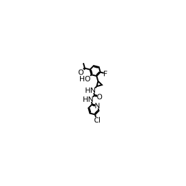 CC(=O)c1ccc(F)c(C2CC2NC(=O)Nc2ccc(Cl)cn2)c1O